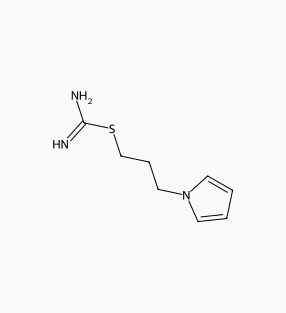 N=C(N)SCCCn1cccc1